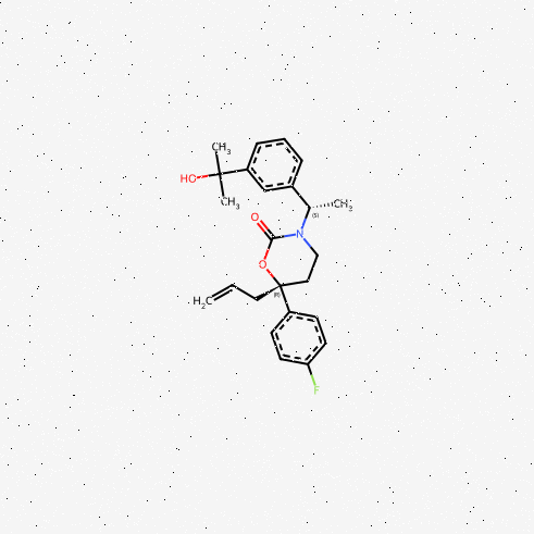 C=CC[C@]1(c2ccc(F)cc2)CCN([C@@H](C)c2cccc(C(C)(C)O)c2)C(=O)O1